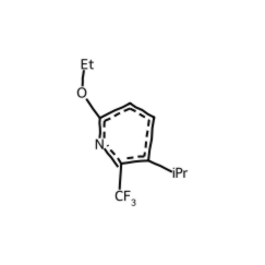 CCOc1ccc(C(C)C)c(C(F)(F)F)n1